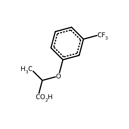 CC(Oc1cccc(C(F)(F)F)c1)C(=O)O